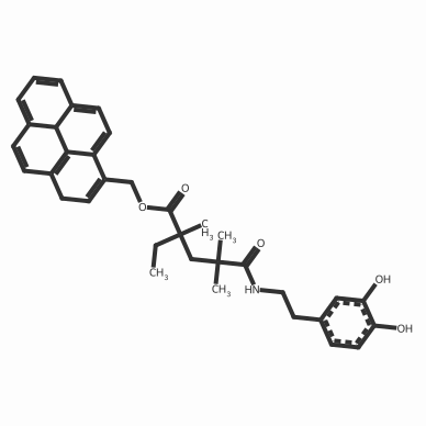 CCC(C)(CC(C)(C)C(=O)NCCc1ccc(O)c(O)c1)C(=O)OCC1=CCC2=C3C1=CC=C1C=CC=C(C=C2)C13